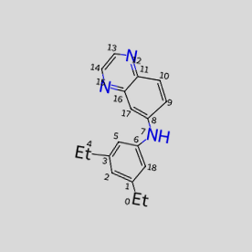 CCc1cc(CC)cc(Nc2ccc3nccnc3c2)c1